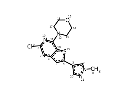 Cn1cc(-c2cc3nc(Cl)nc(N4CCOCC4)c3s2)cn1